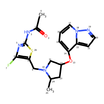 CC(=O)Nc1nc(F)c(CN2CC(Oc3cccn4nccc34)CC2C)s1